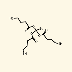 CCC(OC(=O)CCCS)(OC(=O)CCCS)OC(=O)CCCS